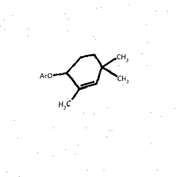 CC(=O)OC1CCC(C)(C)C=C1C